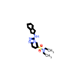 CCN(CC)S(=O)(=O)c1ccc2nnc(NC3Cc4ccccc4C3)n2c1